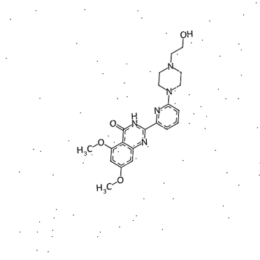 COc1cc(OC)c2c(=O)[nH]c(-c3cccc(N4CCN(CCO)CC4)n3)nc2c1